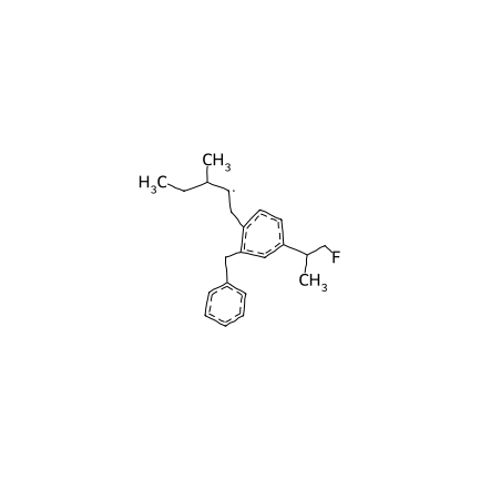 CCC(C)[CH]Cc1ccc(C(C)CF)cc1Cc1ccccc1